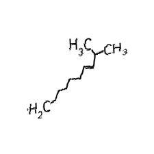 [CH2]CCCCC/C=C/C(C)C